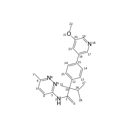 C=C(Nc1ccc(C)nn1)C(C)(c1ccc(-c2cncc(OC)c2)cc1)C(C)C